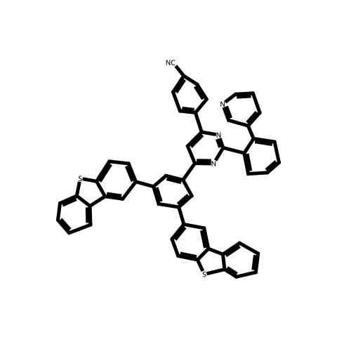 N#Cc1ccc(-c2cc(-c3cc(-c4ccc5sc6ccccc6c5c4)cc(-c4ccc5sc6ccccc6c5c4)c3)nc(-c3ccccc3-c3cccnc3)n2)cc1